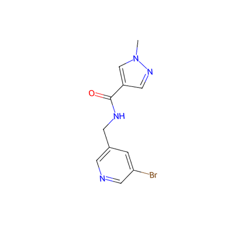 Cn1cc(C(=O)NCc2cncc(Br)c2)cn1